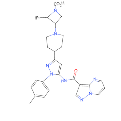 Cc1ccc(-n2nc(C3CCN(C4CN(C(=O)O)C4C(C)C)CC3)cc2NC(=O)c2cnn3cccnc23)cc1